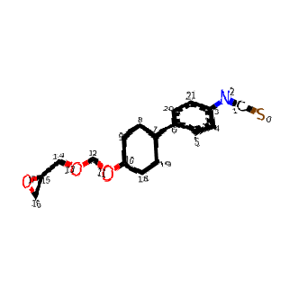 S=C=Nc1ccc(C2CCC(OCOCC3CO3)CC2)cc1